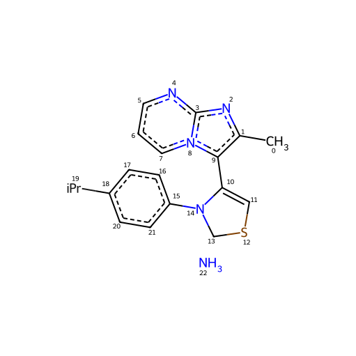 Cc1nc2ncccn2c1C1=CSCN1c1ccc(C(C)C)cc1.N